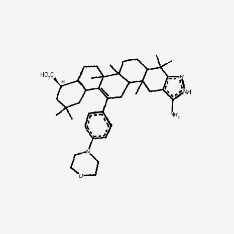 CC1(C)CC2C3=C(c4ccc(N5CCOCC5)cc4)CC4C5(C)Cc6c(n[nH]c6N)C(C)(C)C5CCC4(C)C3(C)CCC2[C@H](C(=O)O)C1